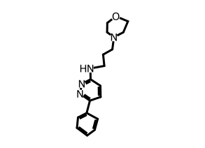 c1ccc(-c2ccc(NCCCN3CCOCC3)nn2)cc1